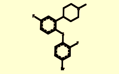 CN1CCC(c2cc(F)ccc2Sc2ccc(Br)cc2F)CC1